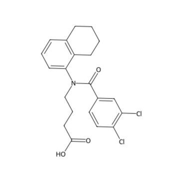 O=C(O)CCCN(C(=O)c1ccc(Cl)c(Cl)c1)c1cccc2c1CCCC2